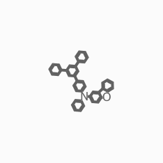 c1ccc(-c2cc(-c3ccccc3)cc(-c3ccc(N(c4ccccc4)c4ccc5oc6ccccc6c5c4)cc3)c2)cc1